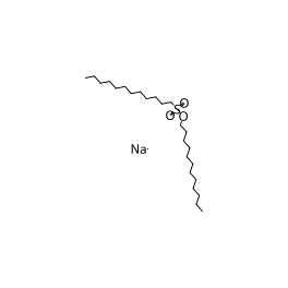 CCCCCCCCCCCCOS(=O)(=O)CCCCCCCCCCCC.[Na]